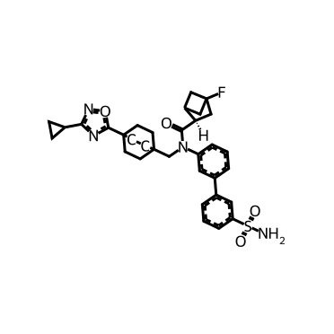 NS(=O)(=O)c1cccc(-c2cccc(N(CC34CCC(c5nc(C6CC6)no5)(CC3)CC4)C(=O)[C@@H]3CC4(F)CC3C4)c2)c1